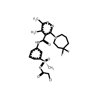 Cc1c(C(F)(F)F)nnc(N2CCCC(F)(F)CC2)c1C(=O)Nc1cccc([S@@](C)(=O)=NC(=O)CCl)c1